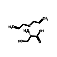 C=CCOCC=C.N[C@@H](CO)C(=O)O